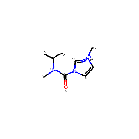 CC(C)N(C)C(=O)n1cc[n+](C)c1